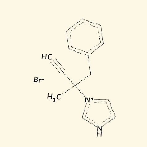 C#CC(C)(Cc1ccccc1)[n+]1cc[nH]c1.[Br-]